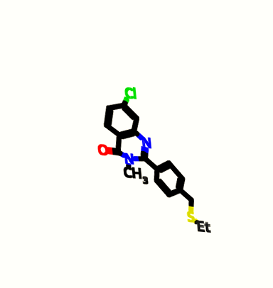 CCSCc1ccc(-c2nc3cc(Cl)ccc3c(=O)n2C)cc1